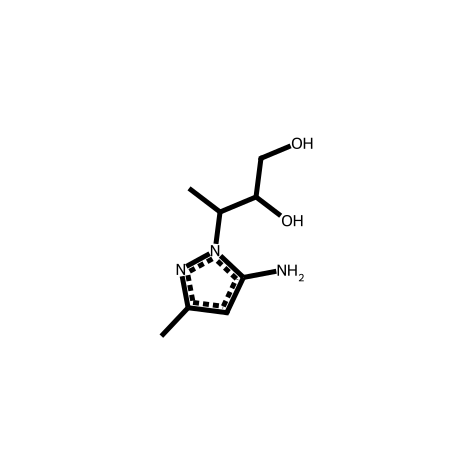 Cc1cc(N)n(C(C)C(O)CO)n1